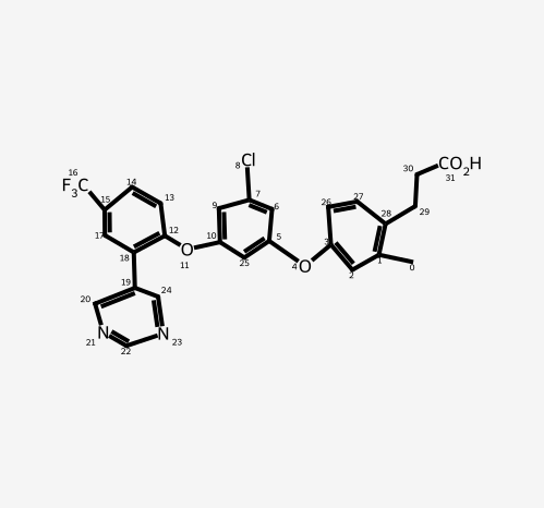 Cc1cc(Oc2cc(Cl)cc(Oc3ccc(C(F)(F)F)cc3-c3cncnc3)c2)ccc1CCC(=O)O